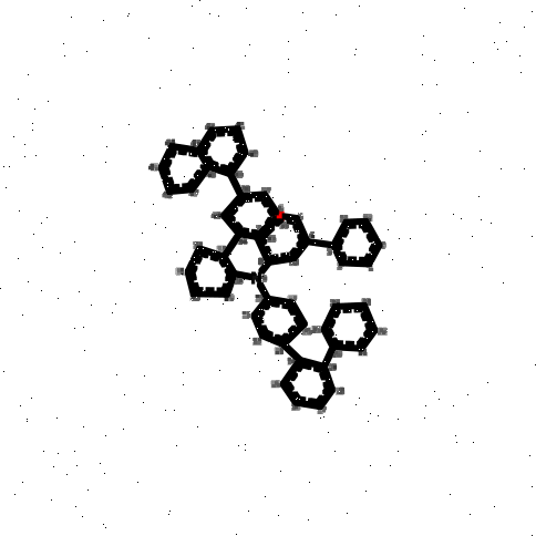 c1ccc(-c2cccc(N(c3ccc(-c4ccccc4-c4ccccc4)cc3)c3ccccc3-c3cccc(-c4cccc5ccccc45)c3)c2)cc1